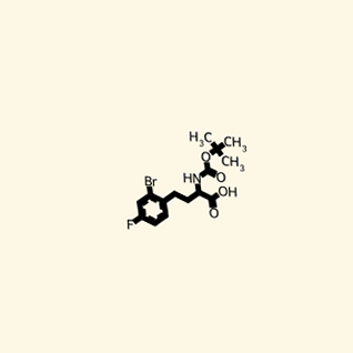 CC(C)(C)OC(=O)NC(CCc1ccc(F)cc1Br)C(=O)O